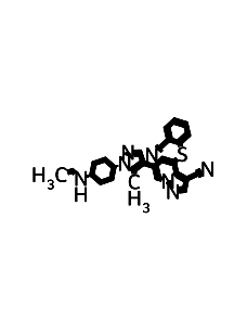 CCN[C@H]1CC[C@H](n2ncc(-c3cc(Sc4ccccc4C#N)c4c(C#N)cnn4c3)c2C)CC1